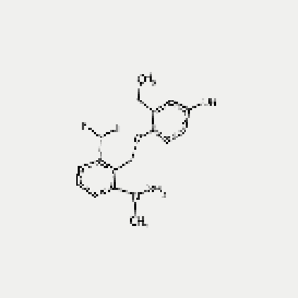 CCc1cc(O)ccc1OCc1c(C(F)F)cccc1N(C)N